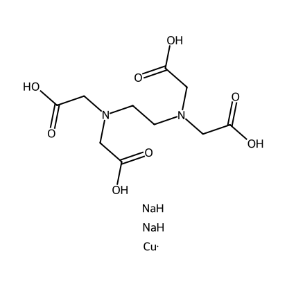 O=C(O)CN(CCN(CC(=O)O)CC(=O)O)CC(=O)O.[Cu].[NaH].[NaH]